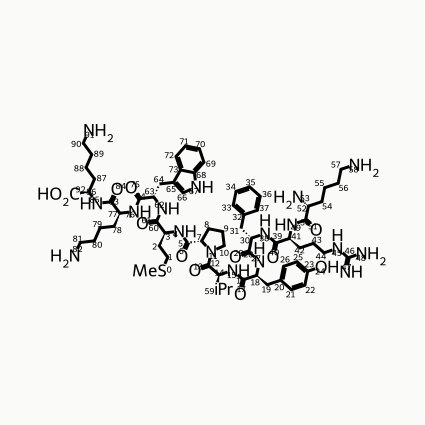 CSCC[C@H](NC(=O)[C@@H]1CCCN1C(=O)[C@@H](NC(=O)[C@H](Cc1ccc(O)cc1)NC(=O)[C@H](Cc1ccccc1)NC(=O)[C@H](CCCNC(=N)N)NC(=O)[C@H](N)CCCCN)C(C)C)C(=O)N[C@@H](Cc1c[nH]c2ccccc12)C(=O)N[C@@H](CCCCN)C(=O)N[C@H](CCCCN)C(=O)O